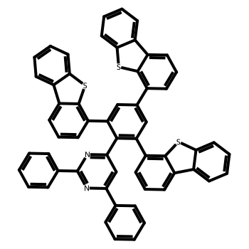 c1ccc(-c2cc(-c3c(-c4cccc5c4sc4ccccc45)cc(-c4cccc5c4sc4ccccc45)cc3-c3cccc4c3sc3ccccc34)nc(-c3ccccc3)n2)cc1